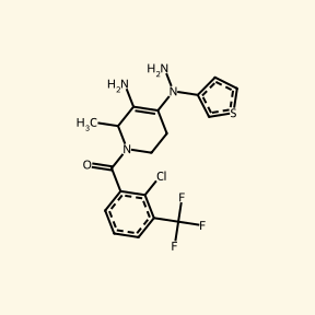 CC1C(N)=C(N(N)c2ccsc2)CCN1C(=O)c1cccc(C(F)(F)F)c1Cl